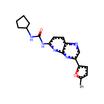 CC(C)c1ccc(-c2cnc3ccc(NC(=O)NC4CCCC4)nc3n2)o1